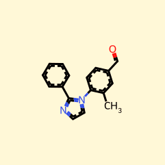 Cc1cc(C=O)ccc1-n1ccnc1-c1ccccc1